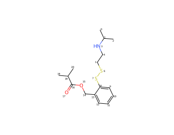 CC(C)NCCSSc1ccccc1COC(=O)C(C)C